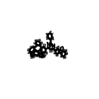 c1ccc(-c2nc(-c3ccc4c(c3)-c3ccccc3-c3ccccc3C43c4ccccc4-c4ccccc43)cc(-c3ccc4c(c3)oc3ccccc34)n2)cc1